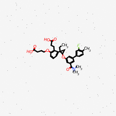 CCC1(c2cccc(OCCCC(=O)O)c2CCC(=O)O)CC1Oc1cc(C(=O)N(C)C)cc(-c2ccc(C)c(F)c2)c1